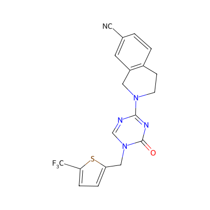 N#Cc1ccc2c(c1)CN(c1ncn(Cc3ccc(C(F)(F)F)s3)c(=O)n1)CC2